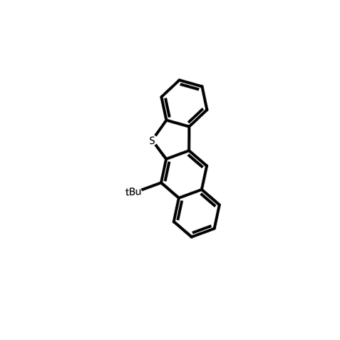 CC(C)(C)c1c2ccccc2cc2c1sc1ccccc12